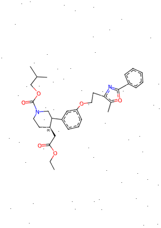 CCOC(=O)C[C@H]1CCN(C(=O)OCC(C)C)CC1c1cccc(OCCc2nc(-c3ccccc3)oc2C)c1